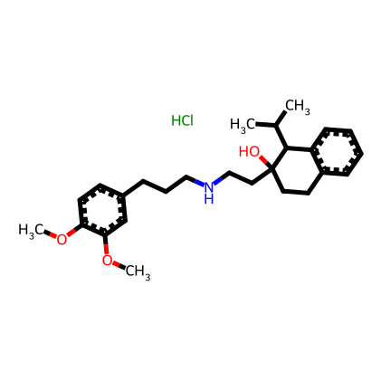 COc1ccc(CCCNCCC2(O)CCc3ccccc3C2C(C)C)cc1OC.Cl